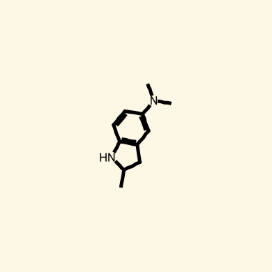 CC1Cc2cc(N(C)C)ccc2N1